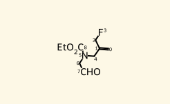 C=C(CF)CN(CC=O)C(=O)OCC